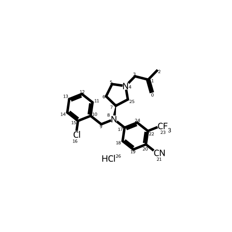 C=C(C)CN1CC[C@H](N(Cc2ccccc2Cl)c2ccc(C#N)c(C(F)(F)F)c2)C1.Cl